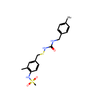 Cc1cc(CSNC(=O)NCc2ccc(C(C)(C)C)cc2)ccc1NS(C)(=O)=O